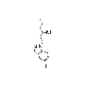 CCCC(=N)CCn1ncc2cc(I)ccc21